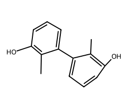 Cc1c(O)cccc1-c1cccc(O)c1C